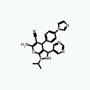 CC(C)N1NC(c2cncnc2)C2=C1OC(N)=C(C#N)C2c1ccc(-n2ccnc2)cc1